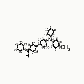 Cc1ccc(N(c2ccccc2)c2ccc(-c3ccc(Nc4ccccc4)cc3)cc2)cc1